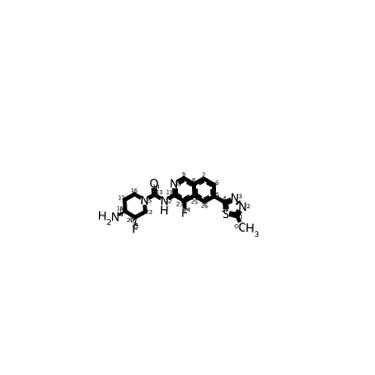 Cc1nnc(-c2ccc3cnc(NC(=O)N4CC[C@H](N)[C@@H](F)C4)c(F)c3c2)s1